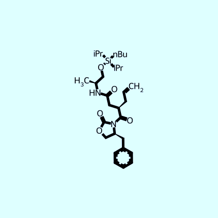 C=CC[C@H](CC(=O)N[C@@H](C)CO[Si](CCCC)(C(C)C)C(C)C)C(=O)N1C(=O)OC[C@@H]1Cc1ccccc1